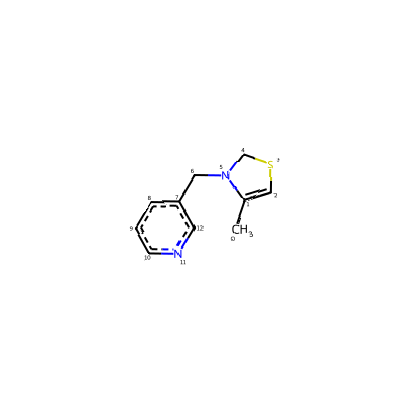 CC1=CSCN1Cc1cccnc1